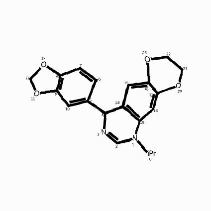 CC(C)N1C=NC(c2ccc3c(c2)OCO3)c2cc3c(cc21)OCCO3